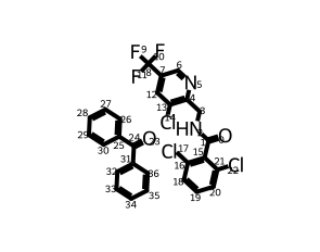 O=C(NCc1ncc(C(F)(F)F)cc1Cl)c1c(Cl)cccc1Cl.O=C(c1ccccc1)c1ccccc1